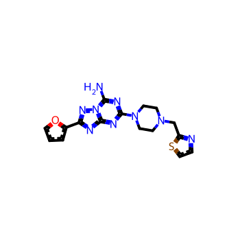 Nc1nc(N2CCN(Cc3nccs3)CC2)nc2nc(-c3ccco3)nn12